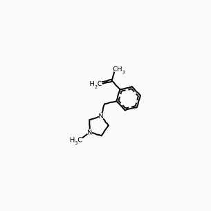 C=C(C)c1ccccc1CN1CCN(C)C1